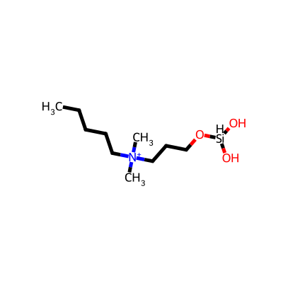 CCCCC[N+](C)(C)CCCO[SiH](O)O